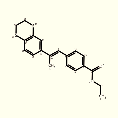 CCOC(=O)c1ccc(C=C(C)c2ccc3c(c2)SCCS3)cc1